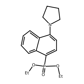 CCOP(=O)(OCC)c1ccc(N2CCCC2)c2ccccc12